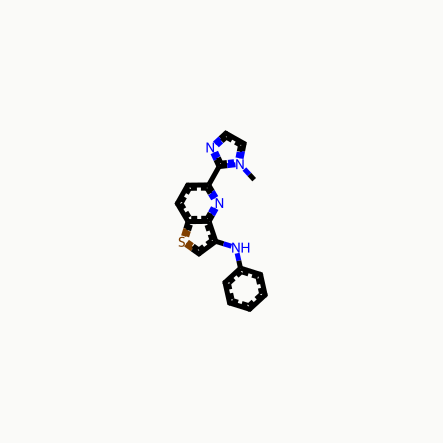 Cn1ccnc1-c1ccc2scc(Nc3ccccc3)c2n1